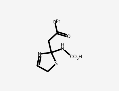 CCCC(=O)CC1(NC(=O)O)N=CCS1